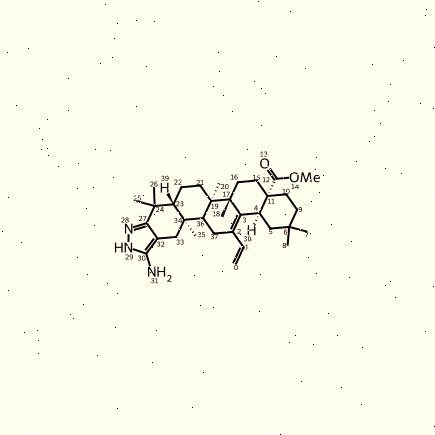 C=CC1=C2[C@@H]3CC(C)(C)CC[C@]3(C(=O)OC)CC[C@@]2(C)[C@]2(C)CC[C@H]3C(C)(C)c4n[nH]c(N)c4C[C@]3(C)C2C1